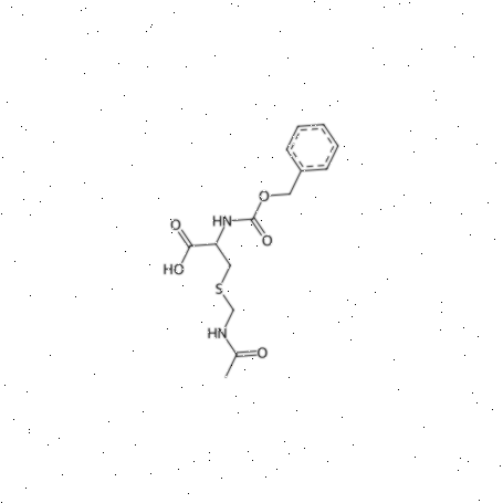 CC(=O)NCSCC(NC(=O)OCc1ccccc1)C(=O)O